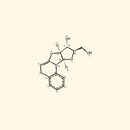 OC[C@H]1O[C@@H]2[C@@H](OC3=NCc4ccccc4N32)[C@@H]1O